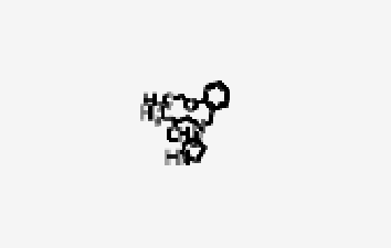 CCOc1ccccc1CN(CC(C)C)[C@H]1CCNC1